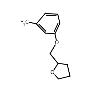 FC(F)(F)c1[c]ccc(OCC2CCCO2)c1